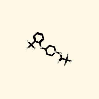 O=C(ON1CCC(Oc2ccccc2C(F)(F)F)CC1)C(F)(F)F